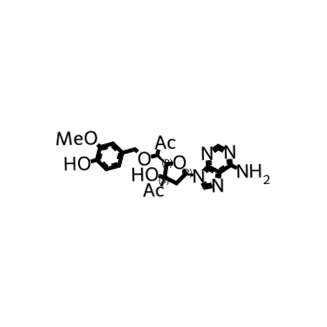 COc1cc(COC(C(C)=O)[C@H]2O[C@@H](n3cnc4c(N)ncnc43)C[C@@]2(O)C(C)=O)ccc1O